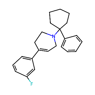 Fc1cccc(C2=CCN(C3(c4ccccc4)CCCCC3)CC2)c1